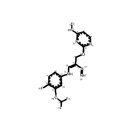 CCNc1ccnc(OC/C(=C/Nc2ccc(F)c(OC(F)F)c2)N=N)n1